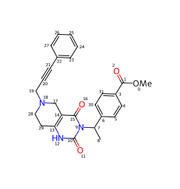 COC(=O)c1ccc(C(C)n2c(=O)[nH]c3c(c2=O)CN(CC#Cc2ccccc2)CC3)cc1